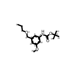 CCCOCc1cc(NC(=O)OC(C)(C)C)cc(OC)c1